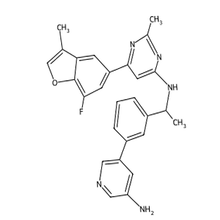 Cc1nc(NC(C)c2cccc(-c3cncc(N)c3)c2)cc(-c2cc(F)c3occ(C)c3c2)n1